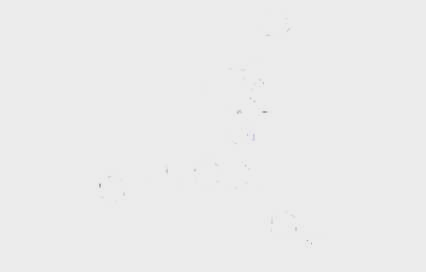 CC1(C)S[C@@H]2[C@@H](NC(=O)C(NC(=O)OCc3ccc([N+](=O)[O-])cc3)c3ccc(OC(=O)OCc4ccccc4)cc3)C(=O)N2[C@@]1(N)C(=O)OCc1ccccc1